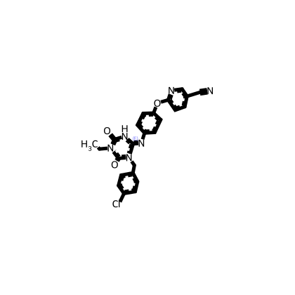 CCn1c(=O)[nH]/c(=N\c2ccc(Oc3ccc(C#N)cn3)cc2)n(Cc2ccc(Cl)cc2)c1=O